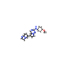 CCOC1CCC(Nc2ncc3c(-c4ccc5nccn5c4)ccn3n2)CC1